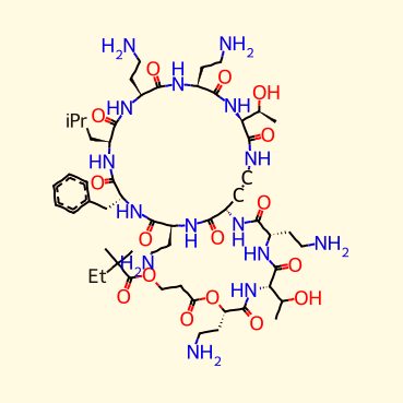 CCC(C)(C)C(=O)OCCC(=O)O[C@@H](CCN)C(=O)N[C@H](C(=O)N[C@@H](CCN)C(=O)N[C@H]1CCNC(=O)[C@H]([C@H](C)O)NC(=O)[C@H](CCN)NC(=O)[C@H](CCN)NC(=O)[C@H](CC(C)C)NC(=O)[C@@H](Cc2ccccc2)NC(=O)[C@H](CCN)NC1=O)C(C)O